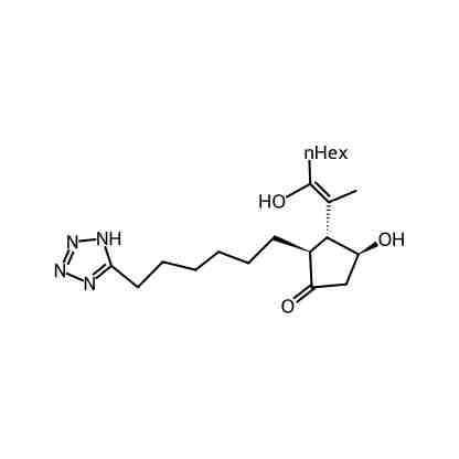 CCCCCCC(O)=C(C)[C@H]1[C@H](CCCCCCc2nnn[nH]2)C(=O)C[C@@H]1O